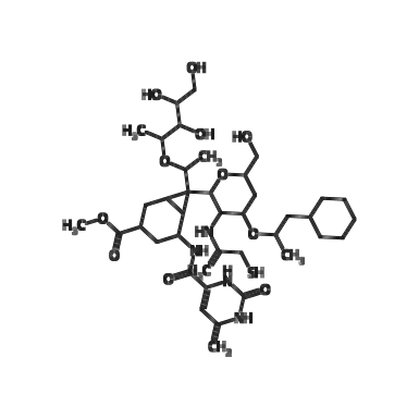 C=C1C=C(C(=O)NC2CC(C(=O)OC)CC3C2C3(C(C)OC(C)C(O)C(O)CO)C2OC(CO)CC(OC(C)CC3CCCCC3)C2NC(=C)CS)NC(=O)N1